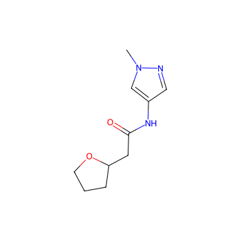 Cn1cc(NC(=O)CC2CCCO2)cn1